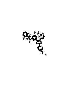 Cc1ccc(-c2nc(-c3cccc(NS(=O)(=O)c4c(F)cccc4F)c3F)c(-c3ccnc(N)n3)s2)nc1